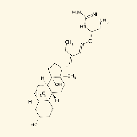 CCC(/C=N/OC(CC)NC(=N)N)=C\[C@H]1CC[C@]2(O)[C@@H]3CC[C@@H]4C[C@@H](O)CC[C@]4(C)[C@H]3CC[C@]12C